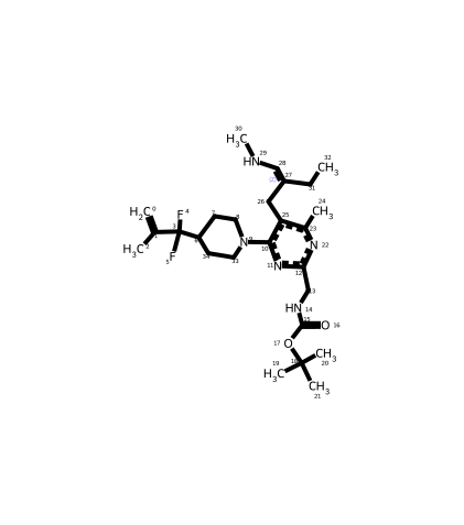 C=C(C)C(F)(F)C1CCN(c2nc(CNC(=O)OC(C)(C)C)nc(C)c2C/C(=C\NC)CC)CC1